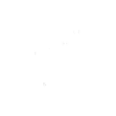 CCOc1ccc(CC#N)cc1OC